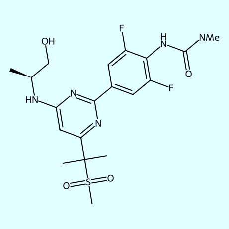 CNC(=O)Nc1c(F)cc(-c2nc(N[C@@H](C)CO)cc(C(C)(C)S(C)(=O)=O)n2)cc1F